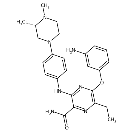 CCc1nc(C(N)=O)c(Nc2ccc(N3CCN(C)[C@@H](C)C3)cc2)nc1Oc1cccc(N)c1